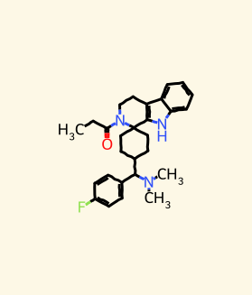 CCC(=O)N1CCc2c([nH]c3ccccc23)C12CCC(C(c1ccc(F)cc1)N(C)C)CC2